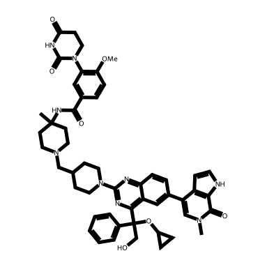 COc1ccc(C(=O)NC2(C)CCN(CC3CCN(c4nc(C(CO)(OC5CC5)c5ccccc5)c5cc(-c6cn(C)c(=O)c7[nH]ccc67)ccc5n4)CC3)CC2)cc1N1CCC(=O)NC1=O